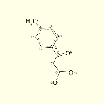 Cc1ccc(C(=O)CC([O])=O)cc1